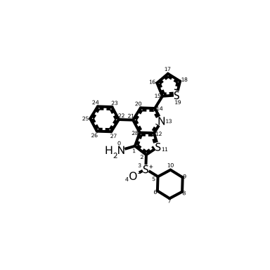 Nc1c([S+]([O-])C2CCCCC2)sc2nc(-c3cccs3)cc(-c3ccccc3)c12